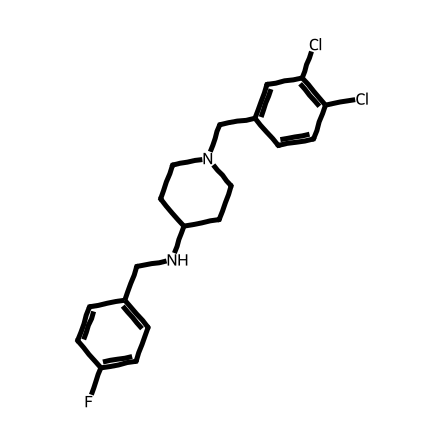 Fc1ccc(CNC2CCN(Cc3ccc(Cl)c(Cl)c3)CC2)cc1